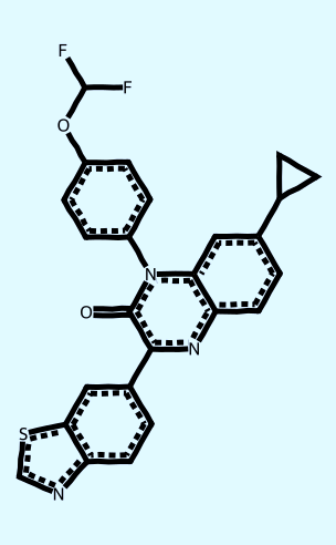 O=c1c(-c2ccc3ncsc3c2)nc2ccc(C3CC3)cc2n1-c1ccc(OC(F)F)cc1